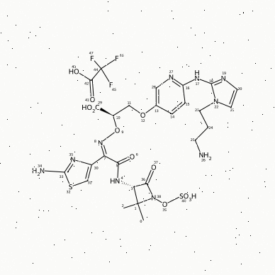 CC1(C)[C@H](NC(=O)/C(=N\O[C@H](COc2ccc(Nc3nccn3CCCN)nc2)C(=O)O)c2csc(N)n2)C(=O)N1OS(=O)(=O)O.O=C(O)C(F)(F)F